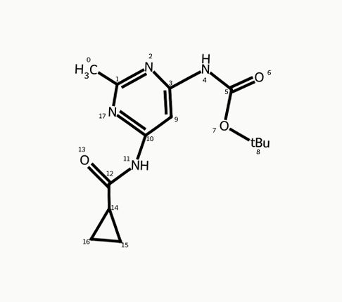 Cc1nc(NC(=O)OC(C)(C)C)cc(NC(=O)C2CC2)n1